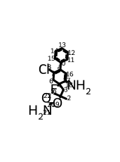 CC(C)(CC1(F)CC(Cl)=C(c2ccccc2)C=C1N)OC(N)=O